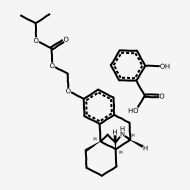 CC(C)OC(=O)OCOc1ccc2c(c1)[C@@]13CCCC[C@H]1[C@@H](C2)NCC3.O=C(O)c1ccccc1O